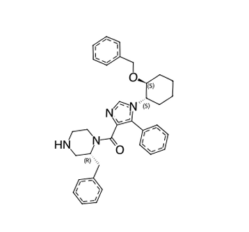 O=C(c1ncn([C@H]2CCCC[C@@H]2OCc2ccccc2)c1-c1ccccc1)N1CCNC[C@H]1Cc1ccccc1